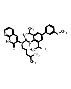 COc1cccc(-c2cc(C(C)C)c(NC(=O)N(CCCC(C)C)c3cc4cccnc4[nH]c3=O)c(C(C)C)c2)c1